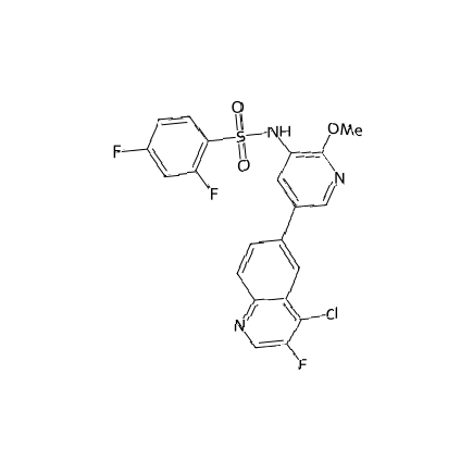 COc1ncc(-c2ccc3ncc(F)c(Cl)c3c2)cc1NS(=O)(=O)c1ccc(F)cc1F